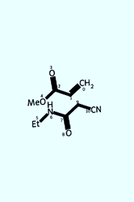 C=CC(=O)OC.CCNC(=O)CC#N